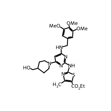 CCOC(=O)c1sc(Nc2nc(NCc3cc(OC)c(OC)c(OC)c3)cc(N3CCC(CO)CC3)n2)nc1C